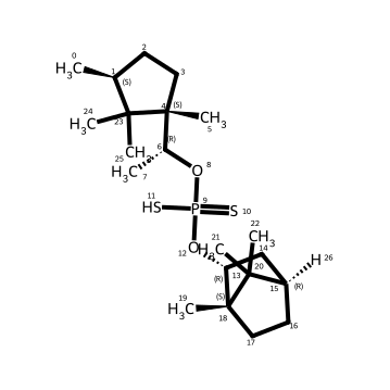 C[C@H]1CC[C@](C)([C@@H](C)OP(=S)(S)O[C@@H]2C[C@H]3CC[C@@]2(C)C3(C)C)C1(C)C